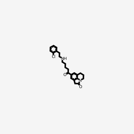 O=C(CCCCNCCc1ccccc1Cl)c1cc2c3c(c1)CC(=O)N3CCC2